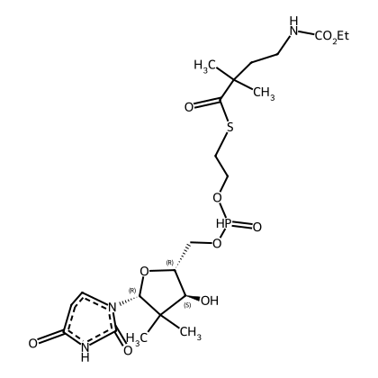 CCOC(=O)NCCC(C)(C)C(=O)SCCO[PH](=O)OC[C@H]1O[C@@H](n2ccc(=O)[nH]c2=O)C(C)(C)[C@@H]1O